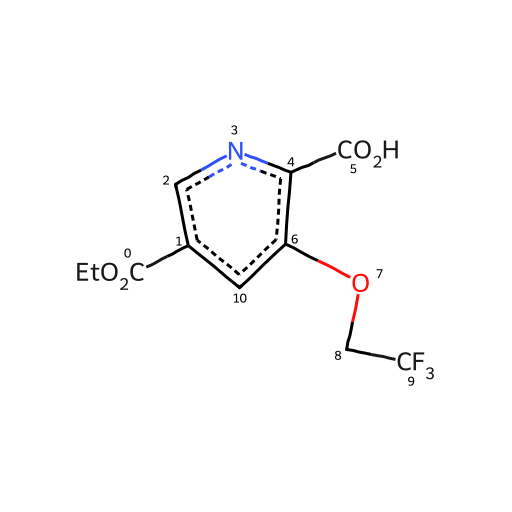 CCOC(=O)c1cnc(C(=O)O)c(OCC(F)(F)F)c1